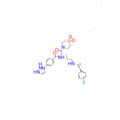 O=C(N[C@@H](CCCN[C@@H]1C[C@H]1c1ccc(F)cc1)C(=O)N1CCS(=O)(=O)CC1)c1ccc(N2C=CNN2)cc1